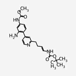 COC(=O)Nc1ccc(-c2ccnc(CCC=CNC(=O)OC(C)(C)C)c2)c(N)c1